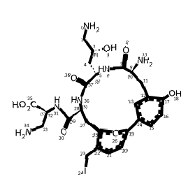 NC[C@H](O)C[C@@H]1NC(=O)[C@@H](N)Cc2cc(ccc2O)-c2ccc(CI)c(c2)C[C@@H](C(=O)N[C@@H](CN)C(=O)O)NC1=O